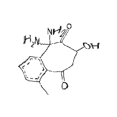 Cc1cccc2c1C(=O)CC(O)C(=O)C2(N)N